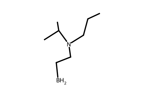 BCCN(CCC)C(C)C